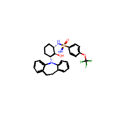 N=S(=O)(N[C@H]1CCC[C@@H](N2c3ccccc3CCc3ccccc32)[C@@H]1O)c1ccc(OC(F)(F)F)cc1